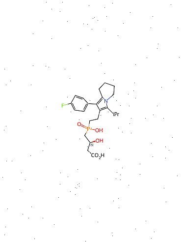 CC(C)c1c(CCP(=O)(O)C[C@@H](O)CC(=O)O)c(-c2ccc(F)cc2)c2n1CCCC2